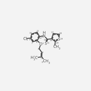 CC(C)=CCOc1cc(Cl)ccc1NC(=S)c1ccsc1C